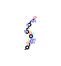 COCCNCc1ccc(-c2cc3nccc(Oc4ccc(NC(=S)NC(=O)Cc5ccc(C)cc5)cc4F)c3s2)nc1